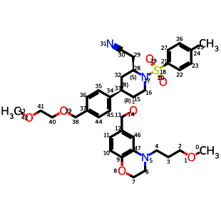 COCCCN1CCOc2ccc(CO[C@H]3CN(S(=O)(=O)c4ccc(C)cc4)[C@H](CC#N)C[C@@H]3c3ccc(COCCOC)cc3)cc21